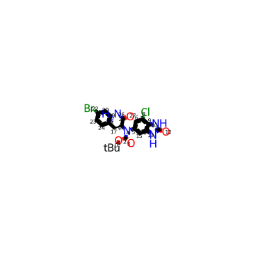 CC(C)(C)OC(=O)N(c1cc(Cl)c2[nH]c(=O)[nH]c2c1)[C@@H](Cc1ccc(Br)cc1)C(N)=O